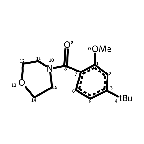 COc1cc(C(C)(C)C)ccc1C(=O)N1CCOCC1